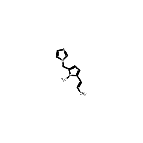 [CH2]C=Cc1ccc(Cn2ccnc2)n1C